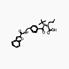 CCCN(C(=O)O)N(C(=O)c1ccc(CNC(=O)c2cc3ccccc3o2)cc1)C(C)(C)C